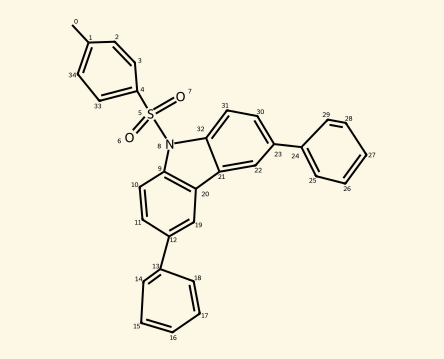 Cc1ccc(S(=O)(=O)n2c3ccc(-c4ccccc4)cc3c3cc(-c4ccccc4)ccc32)cc1